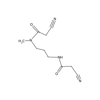 CN(CCCNC(=O)CC#N)C(=O)CC#N